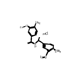 CCOc1cc(C(C)NC(C)c2ccc(OC)c(OCC)c2)ccc1OC.Cl